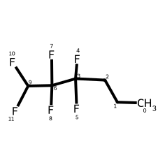 CCCC(F)(F)C(F)(F)C(F)F